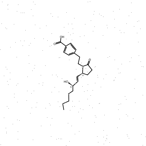 CCCCC[C@@H](O)C=C[C@@H]1CCC(=O)N1CCc1ccc(C(=O)O)cc1